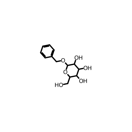 OCC1OC(OCc2ccccc2)C(O)C(O)C1O